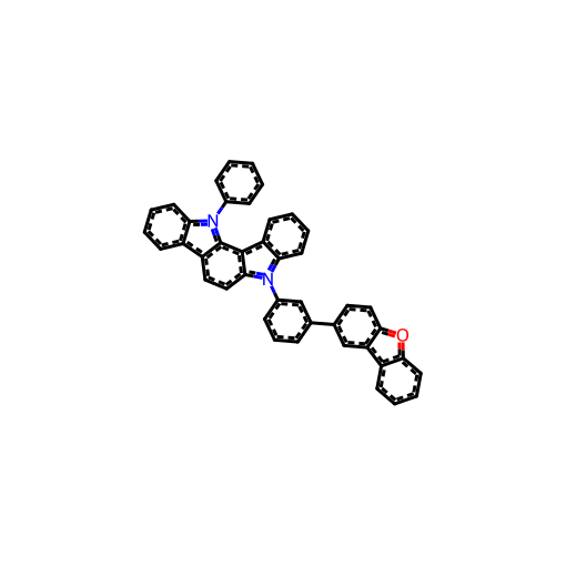 c1ccc(-n2c3ccccc3c3ccc4c(c5ccccc5n4-c4cccc(-c5ccc6oc7ccccc7c6c5)c4)c32)cc1